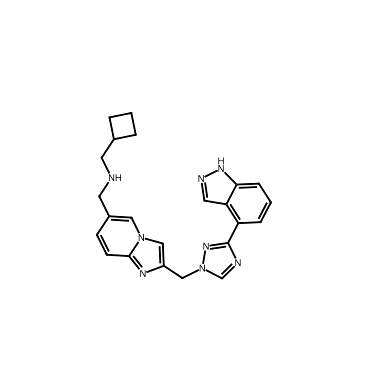 c1cc(-c2ncn(Cc3cn4cc(CNCC5CCC5)ccc4n3)n2)c2cn[nH]c2c1